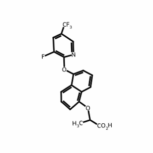 CC(Oc1cccc2c(Oc3ncc(C(F)(F)F)cc3F)cccc12)C(=O)O